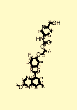 COc1cnc2c(-c3nc4cc(F)c(OC[C@@H](C)OC(=O)Nc5cnc(CO)nc5)cc4s3)cc(C)cc2n1